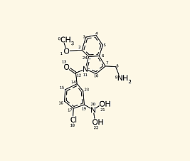 COc1cccc2c(CN)cn(C(=O)c3ccc(Cl)c(N(O)O)c3)c12